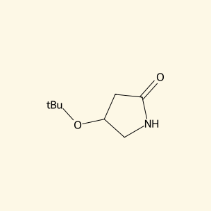 CC(C)(C)OC1CNC(=O)C1